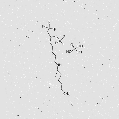 CCCCCCNCCCCCC(CC(F)(F)F)CC(F)(F)F.O=P(O)(O)O